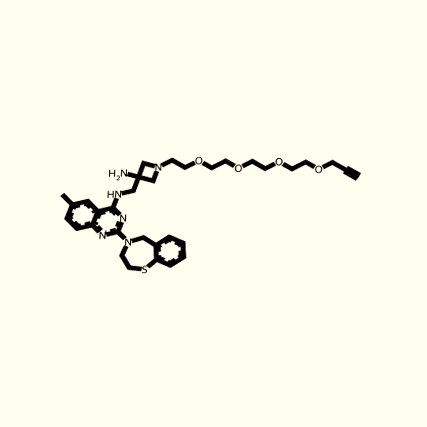 C#CCOCCOCCOCCOCCN1CC(N)(CNc2nc(N3CCSc4ccccc4C3)nc3ccc(C)cc23)C1